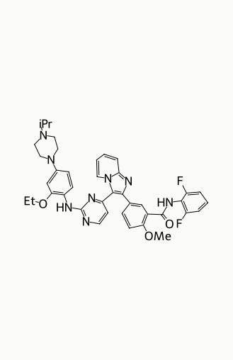 CCOc1cc(N2CCN(C(C)C)CC2)ccc1Nc1nccc(-c2c(-c3ccc(OC)c(C(=O)Nc4c(F)cccc4F)c3)nc3ccccn23)n1